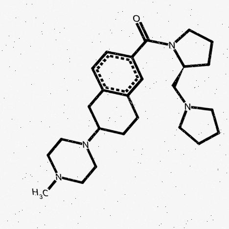 CN1CCN(C2CCc3cc(C(=O)N4CCC[C@H]4CN4CCCC4)ccc3C2)CC1